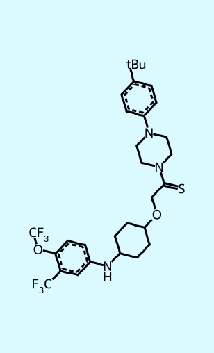 CC(C)(C)c1ccc(N2CCN(C(=S)COC3CCC(Nc4ccc(OC(F)(F)F)c(C(F)(F)F)c4)CC3)CC2)cc1